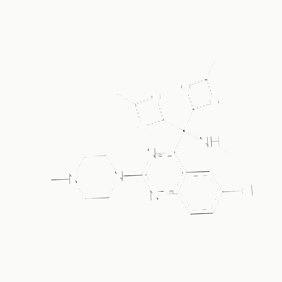 CC1OC(C(N)(c2nc(N3CCN(C)CC3)nc3ccc(Cl)cc23)C2OC(C)O2)O1